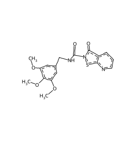 COc1cc(CNC(=O)n2sc3ncccc3c2=O)cc(OC)c1OC